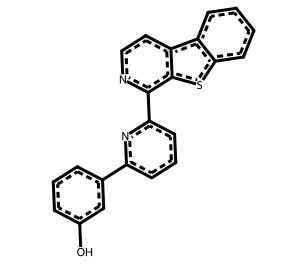 Oc1cccc(-c2cccc(-c3nccc4c3sc3ccccc34)n2)c1